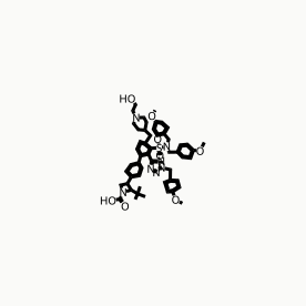 COc1ccc(CN(Cc2ccc(OC)cc2)S(=O)(=O)c2c(CC3CCN(CCO)CC3)ccc(-c3ccc(C4CN(C(=O)O)C4C(C)(C)C)cc3)c2-c2nnn(Cc3ccc(OC)cc3)n2)cc1